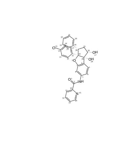 O=C(Nc1ccc2c(c1)O[C@@]1(c3ccc(Cl)cc3)[C@H](c3ccccc3)C[C@H](O)[C@@]21O)c1ccccn1